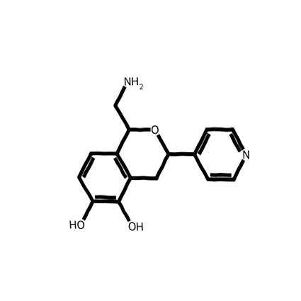 NCC1OC(c2ccncc2)Cc2c1ccc(O)c2O